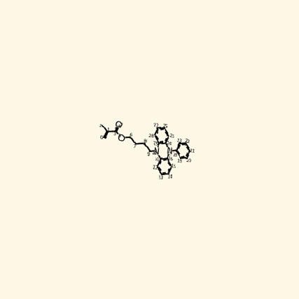 C=C(C)C(=O)OCCCCN1c2ccccc2N(c2ccccc2)c2ccccc21